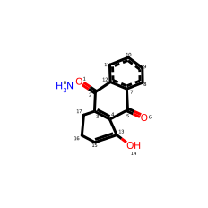 N.O=C1C2=C(C(=O)c3ccccc31)C(O)=CCC2